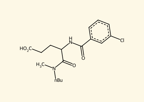 CCCCN(C)C(=O)C(CCC(=O)O)NC(=O)c1cccc(Cl)c1